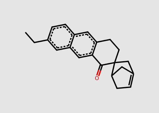 CCc1ccc2cc3c(cc2c1)C(=O)C1(CC3)CC2=CCC1C2